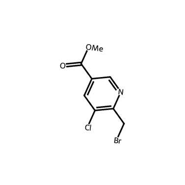 COC(=O)c1cnc(CBr)c(Cl)c1